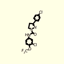 O=C(Nc1ccc(OC(F)(F)F)c(Cl)c1)N1CCC(c2ccc(Cl)cc2)=N1